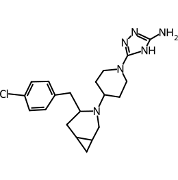 Nc1nnc(N2CCC(N3CC4CC4CC3Cc3ccc(Cl)cc3)CC2)[nH]1